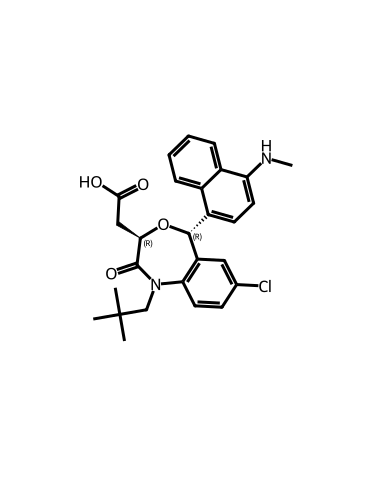 CNc1ccc([C@H]2O[C@H](CC(=O)O)C(=O)N(CC(C)(C)C)c3ccc(Cl)cc32)c2ccccc12